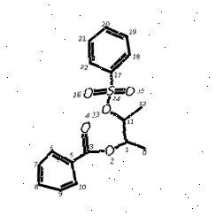 CC(OC(=O)c1ccccc1)C(C)OS(=O)(=O)c1ccccc1